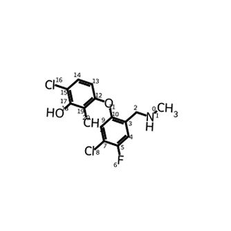 CNCc1cc(F)c(Cl)cc1Oc1ccc(Cl)c(O)c1C